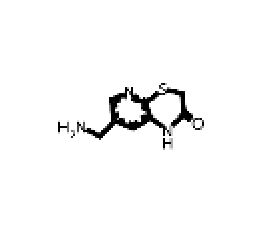 NCc1cnc2c(c1)NC(=O)CS2